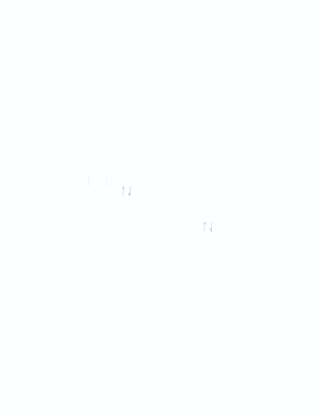 BN1CCc2cc(N)ccc2C1